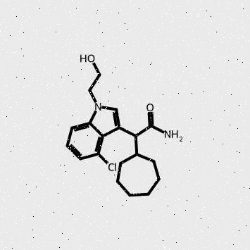 NC(=O)C(c1cn(CCO)c2cccc(Cl)c12)C1CCCCCC1